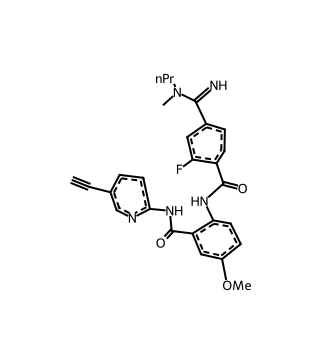 C#Cc1ccc(NC(=O)c2cc(OC)ccc2NC(=O)c2ccc(C(=N)N(C)CCC)cc2F)nc1